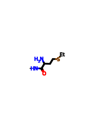 CCSCCC(N)C([NH])=O